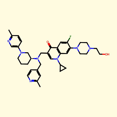 Cc1ccc(N2CCC[C@H](N(Cc3ccnc(C)c3)Cc3cn(C4CC4)c4cc(N5CCN(CCO)CC5)c(F)cc4c3=O)C2)cn1